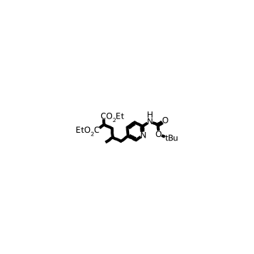 CCOC(=O)C(CC(C)Cc1ccc(NC(=O)OC(C)(C)C)nc1)C(=O)OCC